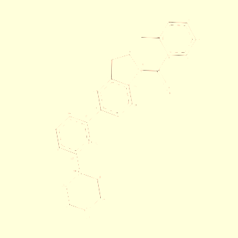 Cc1ccccc1C(=O)N1CCc2cc(-c3cccc(N4CCOCC4)n3)ccc21